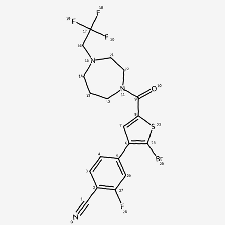 N#Cc1ccc(-c2cc(C(=O)N3CCCN(CC(F)(F)F)CC3)sc2Br)cc1F